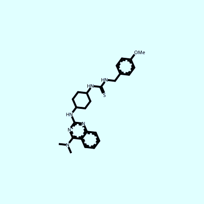 COc1ccc(CNC(=S)NC2CCC(Nc3nc(N(C)C)c4ccccc4n3)CC2)cc1